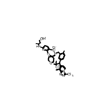 Cc1ccc(C(c2ccn3c(C(F)(F)F)nnc3c2C)C(C)(C)C(=O)O)cc1CN1CC2(CCOCC2)Oc2nc(NC(C)CCO)ccc2[S+]1[O-]